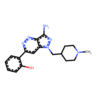 CN1CCC(Cn2nc(N)c3nnc(-c4ccccc4O)cc32)CC1